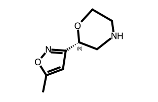 Cc1cc([C@H]2CNCCO2)no1